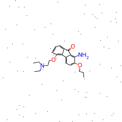 CCCOc1ccc2c(c1N)C(=O)c1cccc(OCCN(CC)CC)c1-2